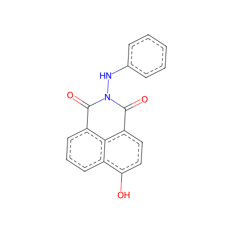 O=C1c2cccc3c(O)ccc(c23)C(=O)N1Nc1ccccc1